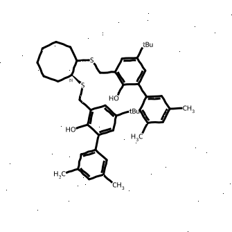 Cc1cc(C)cc(-c2cc(C(C)(C)C)cc(CSC3CCCCCC[C@@H]3SCc3cc(C(C)(C)C)cc(-c4cc(C)cc(C)c4)c3O)c2O)c1